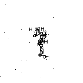 CN(C)CC[C@H](CSc1ccccc1)Oc1ccc(S(=O)(=O)Nc2ncnc3cc(N4CCN(Cc5ccccc5-c5ccc(Cl)cc5)CC4)ccc23)cc1[N+](=O)[O-]